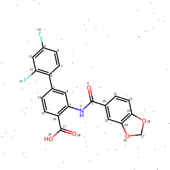 O=C(Nc1cc(-c2ccc(F)cc2F)ccc1C(=O)O)c1ccc2c(c1)OCO2